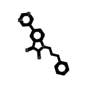 O=C1C(=O)N(CCCc2ccccc2)c2ccc(-c3cncnc3)cc21